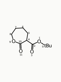 CC(C)(C)OC(=O)C1CCCCOC1=O